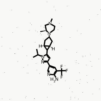 CC(C)n1nc(-c2cnc(N)c(C(F)(F)F)c2)cc1C1[C@H]2C[C@@H](N3CCN(C)C[C@@H]3C)C[C@@H]12